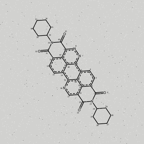 O=C1c2ccc3c4nnc5c6c(ccc(c7ncc(c2c37)C(=O)N1C1CCCCC1)c64)C(=O)N(C1CCCCC1)C5=O